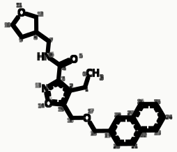 CCc1c(C(=O)NCC2CCOC2)noc1COCc1ccc2ccccc2c1